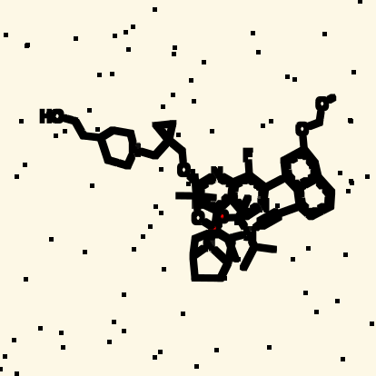 COCOc1cc(-c2ncc3c(N4CC5CCC(C4)N5C(=O)OC(C)(C)C)nc(OCC4(CN5CCC(CCO)CC5)CC4)nc3c2F)c2c(C#C[Si](C(C)C)(C(C)C)C(C)C)cccc2c1